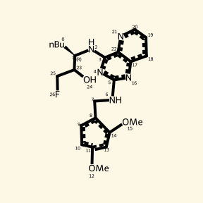 CCCC[C@@H](Nc1nc(NCc2ccc(OC)cc2OC)nc2cccnc12)C(O)CF